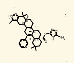 Cc1[nH]nc2c1C[C@]1(C)C3CC(c4cccnc4)=C4[C@@H]5CC(C)(C)CC[C@]5(C(=O)Sc5nnc(N)[nH]5)CC[C@@]4(C)[C@]3(C)CC[C@H]1C2(C)C